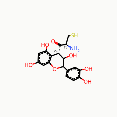 N[C@H](CS)C(=O)[C@H]1c2c(O)cc(O)cc2OC(c2ccc(O)c(O)c2)C1O